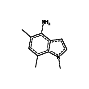 Cc1cc(C)c2c(ccn2C)c1N